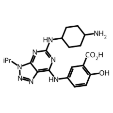 CC(C)n1nnc2c(Nc3ccc(O)c(C(=O)O)c3)nc(NC3CCC(N)CC3)nc21